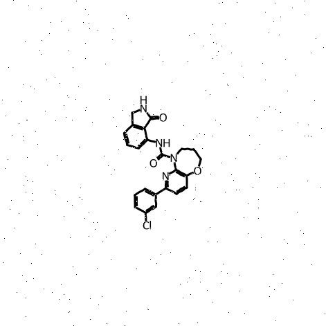 O=C1NCc2cccc(NC(=O)N3CCCOc4ccc(-c5cccc(Cl)c5)nc43)c21